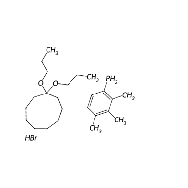 Br.CCCOC1(OCCC)CCCCCCCC1.Cc1ccc(P)c(C)c1C